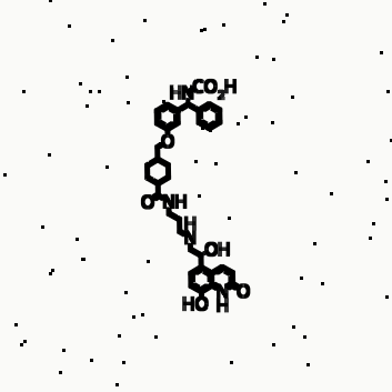 O=C(O)N[C@@H](c1ccccc1)c1cccc(OCC2CCC(C(=O)NCCCNC[C@H](O)c3ccc(O)c4[nH]c(=O)ccc34)CC2)c1